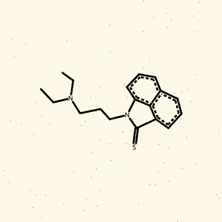 CCN(CC)CCCN1C(=S)c2cccc3cccc1c23